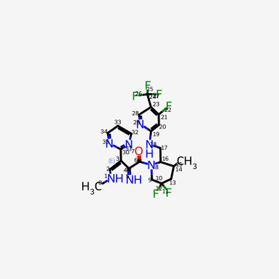 CN/C=C(\C(=N)C(=O)N1CC(F)(F)CC(C)C1CNc1cc(F)c(C(F)(F)F)cn1)c1ncccn1